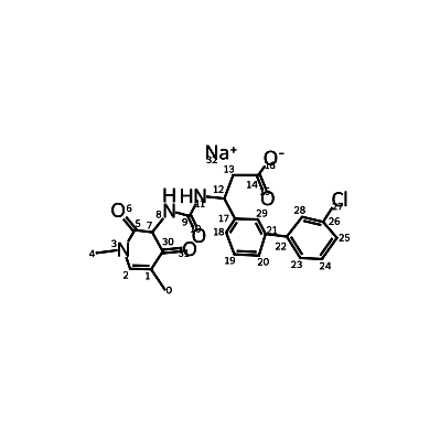 CC1=CN(C)C(=O)C(NC(=O)NC(CC(=O)[O-])c2cccc(-c3cccc(Cl)c3)c2)C1=O.[Na+]